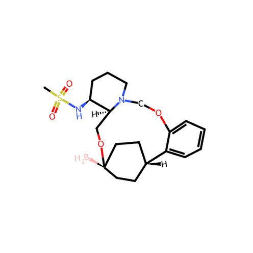 B[C@]12CC[C@H](CC1)c1ccccc1OCN1CCC[C@H](NS(C)(=O)=O)[C@@H]1CO2